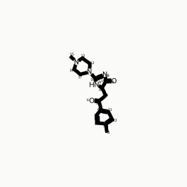 Cc1ccc(C(=O)CC2NC(N3CCN(C)CC3)=NC2=O)cc1